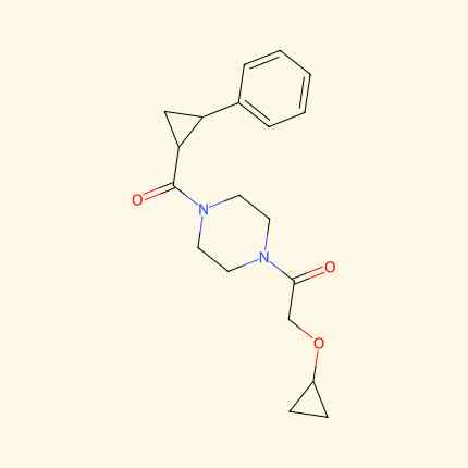 O=C(COC1CC1)N1CCN(C(=O)C2CC2c2ccccc2)CC1